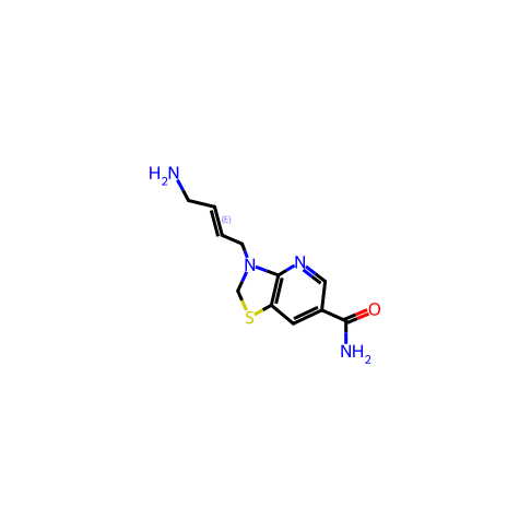 NC/C=C/CN1CSc2cc(C(N)=O)cnc21